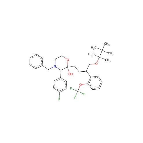 CC(C)(C)[Si](C)(C)OCC(CCC1(O)OCCN(Cc2ccccc2)C1c1ccc(F)cc1)c1ccccc1OC(F)(F)F